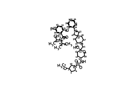 CO[C@@H]1CCN(S(=O)(=O)N[C@@H]2CC[C@](O)(CN3CCC4(CC3)CN(c3ncncc3Oc3ccc(F)cc3C(=O)N(C(C)C)C(C)C)C4)OC2)C1